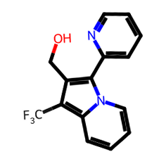 OCc1c(C(F)(F)F)c2ccccn2c1-c1ccccn1